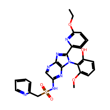 CCOC1=NC(c2nc3ncc(NS(=O)(=O)Cc4ccccn4)nc3n2-c2c(O)cccc2OC)=C=C=C1